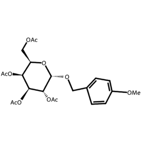 COc1ccc(CO[C@H]2O[C@H](COC(C)=O)[C@H](OC(C)=O)[C@H](OC(C)=O)[C@H]2OC(C)=O)cc1